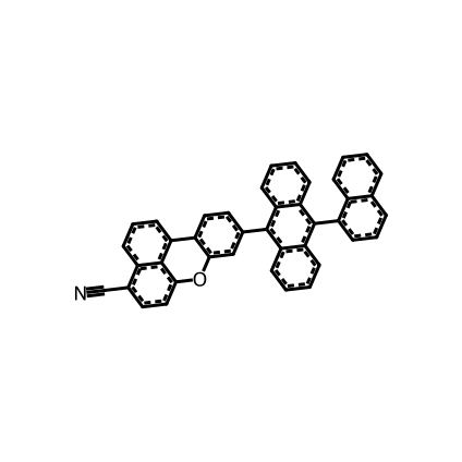 N#Cc1ccc2c3c(cccc13)-c1ccc(-c3c4ccccc4c(-c4cccc5ccccc45)c4ccccc34)cc1O2